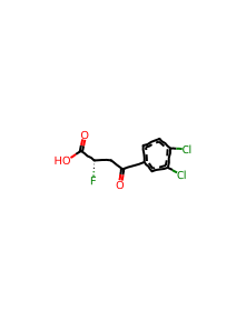 O=C(C[C@H](F)C(=O)O)c1ccc(Cl)c(Cl)c1